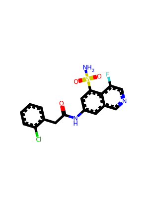 NS(=O)(=O)c1cc(NC(=O)Cc2ccccc2Cl)cc2cncc(F)c12